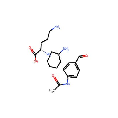 CC(=O)Nc1ccc(C=O)cc1.NC1CCCCC1.NCCC[C@H](N)C(=O)O